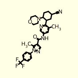 Cc1cc(NC(=O)c2cnn(-c3ccc(C(F)(F)F)cc3)c2C)cnc1C1CC(C#N)CCC1N1CCOCC1